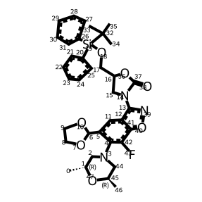 C[C@@H]1CN(c2c(C3OCCO3)cc3c(N4CC(CO[Si](c5ccccc5)(c5ccccc5)C(C)(C)C)OC4=O)noc3c2F)C[C@@H](C)O1